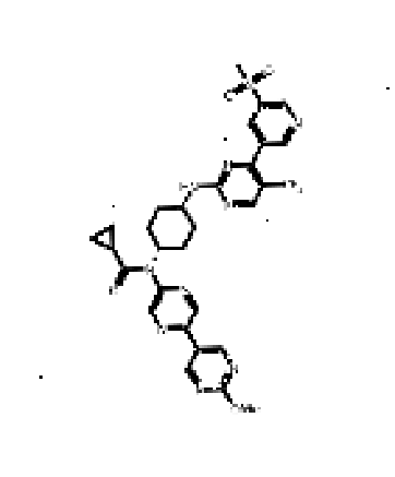 COc1ncc(-c2cnc(N(C(=O)C3CC3)[C@H]3CC[C@H](Nc4ncc(C(F)(F)F)c(-c5cncc(S(C)(=O)=O)c5)n4)CC3)cn2)cn1